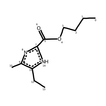 CCCCOC(=O)c1nc(C)c(CC)[nH]1